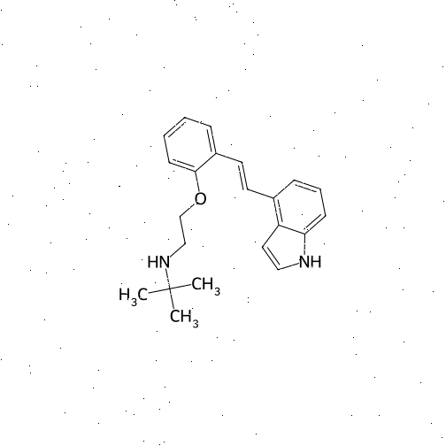 CC(C)(C)NCCOc1ccccc1C=Cc1cccc2[nH]ccc12